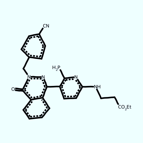 CCOC(=O)CCNc1ccc(-c2nn(Cc3ccc(C#N)cc3)c(=O)c3ccccc23)c(P)n1